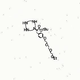 CCOCCOCCOCCOc1ccc(C[C@@H](C(=O)OC(C)(C)C)N2CCNCCNCCNCC2)cc1